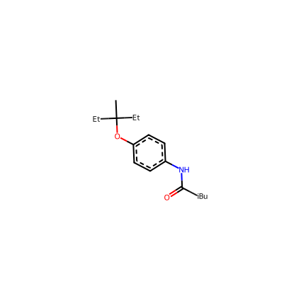 CCC(C)C(=O)Nc1ccc(OC(C)(CC)CC)cc1